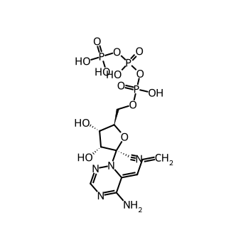 C=C/C=C1/C(N)=NC=NN1[C@]1(C#N)O[C@H](COP(=O)(O)OP(=O)(O)OP(=O)(O)O)[C@@H](O)[C@H]1O